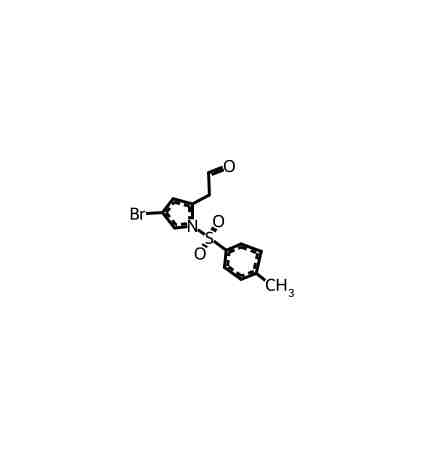 Cc1ccc(S(=O)(=O)n2cc(Br)cc2CC=O)cc1